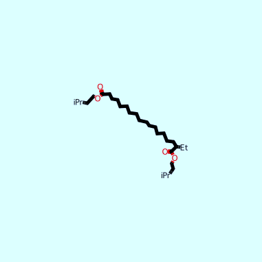 CCC(CCCCCCCCCCCCCCCC(=O)OCCC(C)C)C(=O)OCCC(C)C